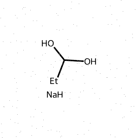 [CH2]CC(O)O.[NaH]